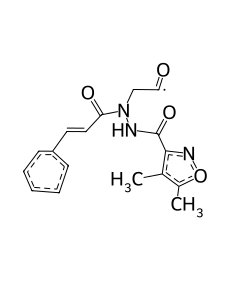 Cc1onc(C(=O)NN(C[C]=O)C(=O)C=Cc2ccccc2)c1C